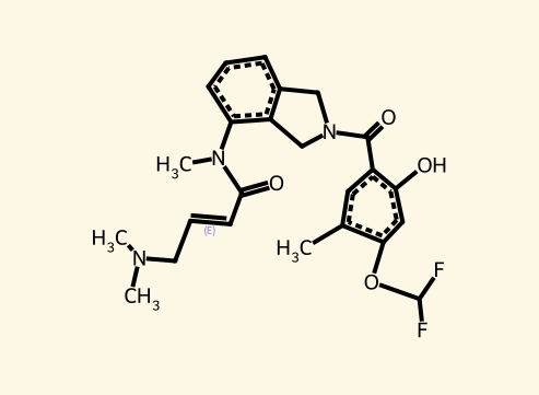 Cc1cc(C(=O)N2Cc3cccc(N(C)C(=O)/C=C/CN(C)C)c3C2)c(O)cc1OC(F)F